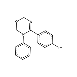 CCc1ccc(C2=NCOCN2c2ccccc2)cc1